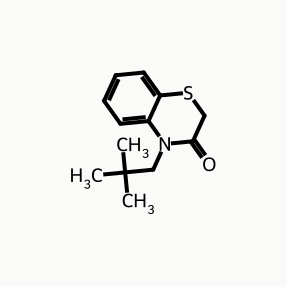 CC(C)(C)CN1C(=O)CSc2ccccc21